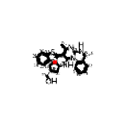 Cc1nc(N[C@H](C)c2ccccc2)nc(N[C@H]2CC[C@@H](CO)C2)c1-c1nc2ccccc2s1